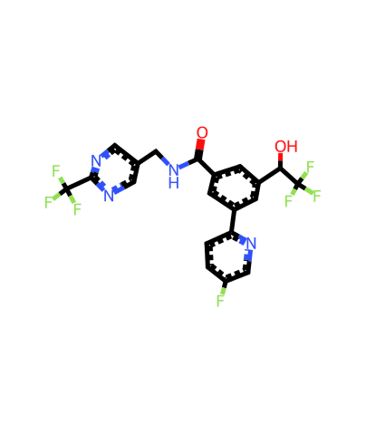 O=C(NCc1cnc(C(F)(F)F)nc1)c1cc(-c2ccc(F)cn2)cc(C(O)C(F)(F)F)c1